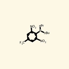 CCCCN(CCC)c1c([N+](=O)[O-])cc(C(F)(F)F)cc1[N+](=O)[O-]